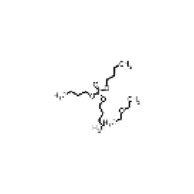 CCCCOP(=O)(OCCCC)OCCCC.CCOCC